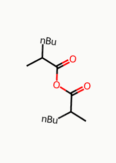 CCCCC(C)C(=O)OC(=O)C(C)CCCC